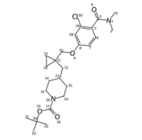 CN(C)C(=O)c1ccc(OCC2(CC3CCN(C(=O)OC(C)(C)C)CC3)CC2)cc1Cl